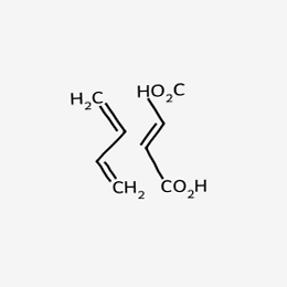 C=CC=C.O=C(O)C=CC(=O)O